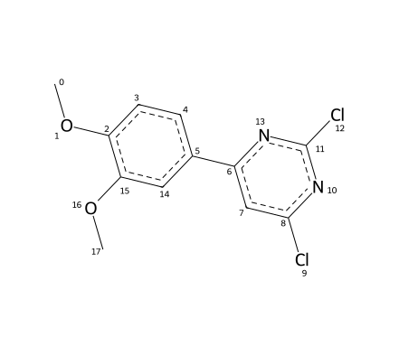 COc1ccc(-c2cc(Cl)nc(Cl)n2)cc1OC